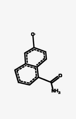 NC(=O)c1cccc2cc([O])ccc12